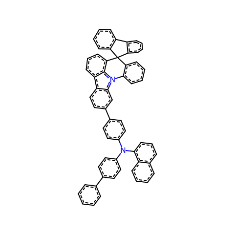 c1ccc(-c2ccc(N(c3ccc(-c4ccc5c6cccc7c6n(c5c4)-c4ccccc4C74c5ccccc5-c5ccccc54)cc3)c3cccc4ccccc34)cc2)cc1